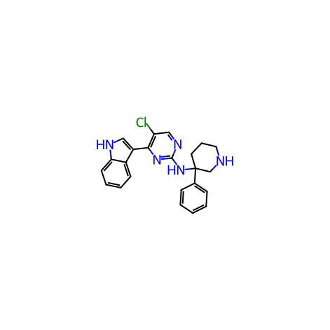 Clc1cnc(NC2(c3ccccc3)CCCNC2)nc1-c1c[nH]c2ccccc12